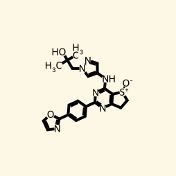 CC(C)(O)Cn1cc(Nc2nc(-c3ccc(-c4ncco4)cc3)nc3c2[S@+]([O-])CC3)cn1